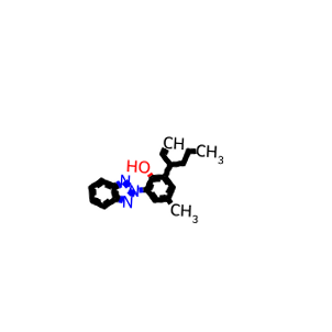 C=CC(CCC)c1cc(C)cc(-n2nc3ccccc3n2)c1O